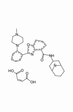 CN1CCN(c2ccccc2-c2nc3c(C(=O)NC4CC5CCCC(C4)N5C)cccc3o2)CC1.O=C(O)/C=C\C(=O)O